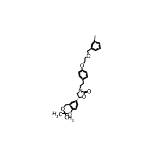 CC1(C)OCc2cc([C@@H]3CN(CCc4ccc(OCCOCc5cccc(I)c5)cc4)C(=O)O3)ccc2O1